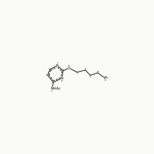 CC(=O)Nc1ccnc(OCCCCC(C)C)n1